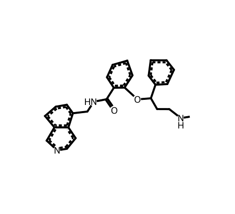 CNCCC(Oc1ccccc1C(=O)NCc1cccc2cnccc12)c1ccccc1